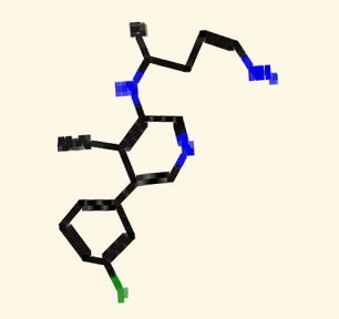 CCC(C/C=C\N)Nc1cncc(-c2cccc(F)c2)c1NC